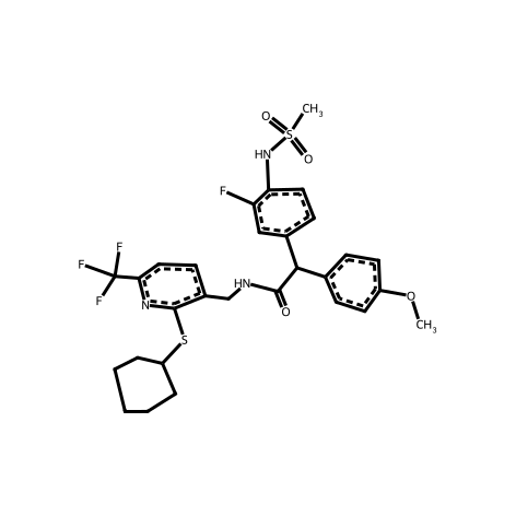 COc1ccc(C(C(=O)NCc2ccc(C(F)(F)F)nc2SC2CCCCC2)c2ccc(NS(C)(=O)=O)c(F)c2)cc1